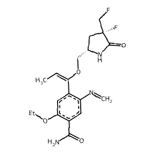 C=Nc1cc(C(N)=O)c(OCC)cc1/C(=C\C)OC[C@@H]1C[C@@](F)(CF)C(=O)N1